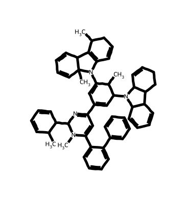 CC1CC=CC2=C1C1C=CC=CC1(C)N2C1=CC(C2=NC(C3C=CC=CC3C)N(C)C(c3ccccc3-c3ccccc3)=C2)=CC(N2C3C=CC=CC3C3CCC=CC32)C1C